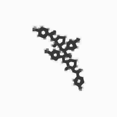 CN1C(CC(=O)c2ccc(Br)cc2)CCCC1CC(C(=O)C(CC1CCCC(CC(=O)c2ccc(Br)cc2)N1C)c1ccc(Br)cc1)c1ccc(Br)cc1